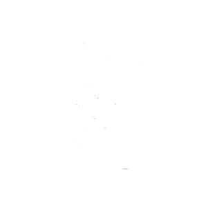 c1ccc(-c2cccc(-c3nc(-n4c5ccccc5c5c6c7ccccc7sc6c6ccccc6c54)nc4sc5ccc6ccccc6c5c34)c2)cc1